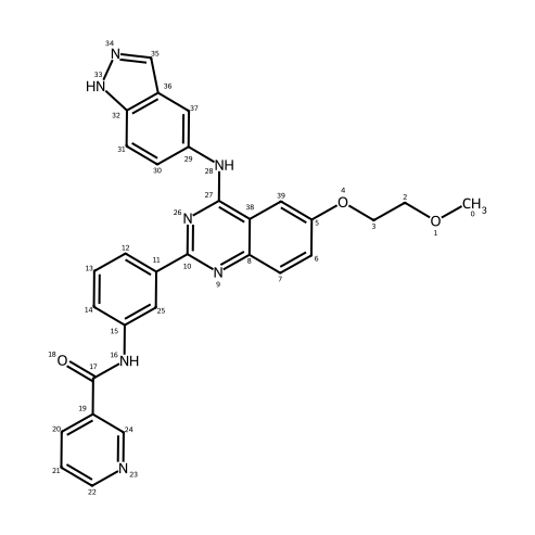 COCCOc1ccc2nc(-c3cccc(NC(=O)c4cccnc4)c3)nc(Nc3ccc4[nH]ncc4c3)c2c1